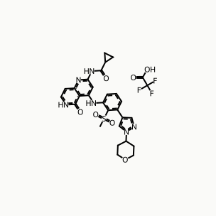 CS(=O)(=O)c1c(Nc2cc(NC(=O)C3CC3)nc3cc[nH]c(=O)c23)cccc1-c1cnn(C2CCOCC2)c1.O=C(O)C(F)(F)F